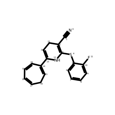 N#CC1=C(Sc2ccccc2F)NC(C2=CCC=CC=C2)=CC1